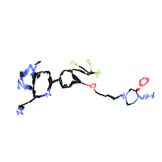 Cn1cnc2c(C#N)nc(-c3ccc(OCCCN4CCNC(=O)C4)c(C(F)(F)F)c3)cc21